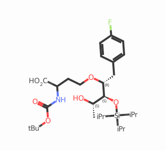 CC(C)[Si](O[C@@H]([C@H](C)O)[C@@H](Cc1ccc(F)cc1)OCCC(NC(=O)OC(C)(C)C)C(=O)O)(C(C)C)C(C)C